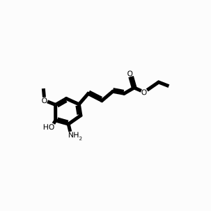 CCOC(=O)C=CC=Cc1cc(N)c(O)c(OC)c1